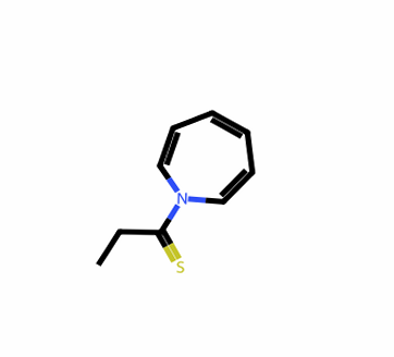 CCC(=S)N1C=CC=CC=C1